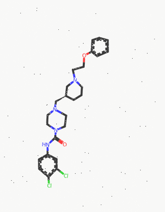 O=C(Nc1ccc(Cl)c(Cl)c1)N1CCN(C[C@@H]2CCCN(CCOc3ccccc3)C2)CC1